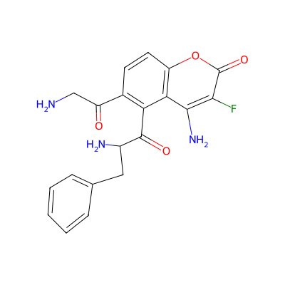 NCC(=O)c1ccc2oc(=O)c(F)c(N)c2c1C(=O)C(N)Cc1ccccc1